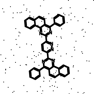 c1ccc(-c2nc(-c3ccc(-c4nc(-c5ccccc5)c5ccc6ccccc6c5n4)nn3)nc3c2ccc2ccccc23)cc1